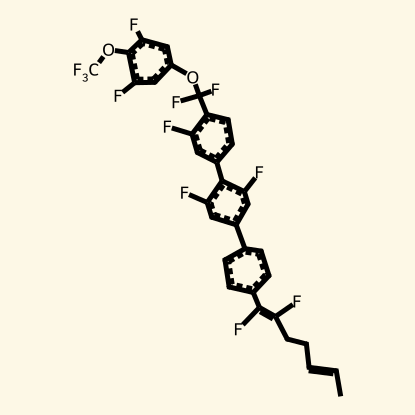 C/C=C/CC/C(F)=C(\F)c1ccc(-c2cc(F)c(-c3ccc(C(F)(F)Oc4cc(F)c(OC(F)(F)F)c(F)c4)c(F)c3)c(F)c2)cc1